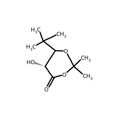 CC1(C)OC(=O)[C@H](O)C(C(C)(C)C)O1